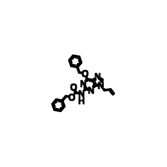 C=CCn1cnc2c(OCc3ccccc3)nc(NC(=O)OCc3ccccc3)nc21